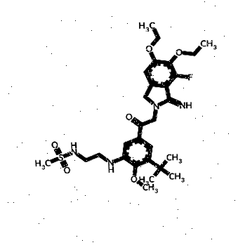 CCOc1cc2c(c(F)c1OCC)C(=N)N(CC(=O)c1cc(NCCNS(C)(=O)=O)c(OC)c(C(C)(C)C)c1)C2